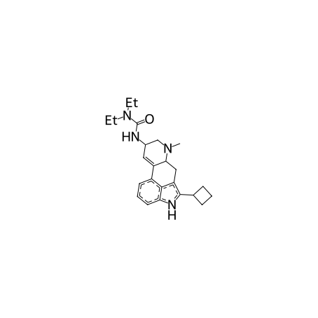 CCN(CC)C(=O)NC1C=C2c3cccc4[nH]c(C5CCC5)c(c34)CC2N(C)C1